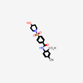 N#Cc1ccc(NC(=O)c2ccc(S(=O)(=O)N3CCC(O)CC3)cc2)c(C(=O)O)c1